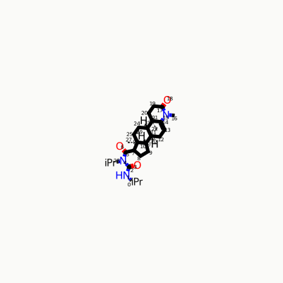 CC(C)NC(=O)N(C(=O)C1CC[C@H]2[C@@H]3CC=C4N(C)C(=O)CC[C@]4(C)[C@@H]3CC[C@]12C)C(C)C